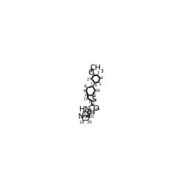 COc1cccc(-c2ccc3cc(C(=O)N[C@H]4CN5CCC4CC5)sc3c2)c1